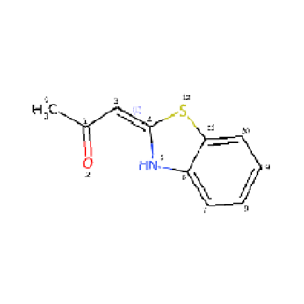 CC(=O)/C=C1\Nc2ccccc2S1